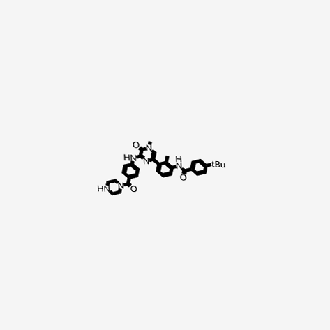 Cc1c(NC(=O)c2ccc(C(C)(C)C)cc2)cccc1-c1cn(C)c(=O)c(Nc2ccc(C(=O)N3CCNCC3)cc2)n1